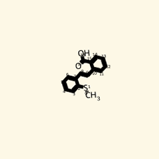 CSc1ccccc1C=Cc1ccccc1C(=O)O